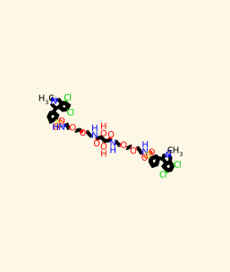 CN1Cc2c(Cl)cc(Cl)cc2C(c2cccc(S(=O)(=O)NCCOCCOCCNC(=O)[C@H](O)[C@@H](O)C(=O)NCCOCCOCCNS(=O)(=O)c3cccc(C4CN(C)Cc5c(Cl)cc(Cl)cc54)c3)c2)C1